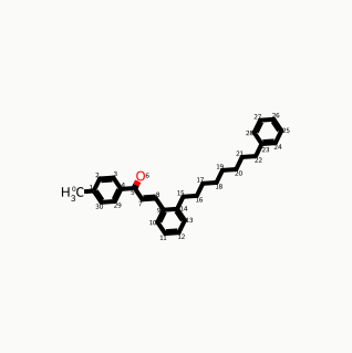 Cc1ccc(C(=O)C=Cc2ccccc2CCCCCCCCc2ccccc2)cc1